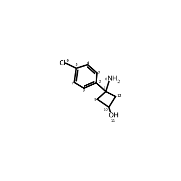 NC1(c2ccc(Cl)cc2)CC(O)C1